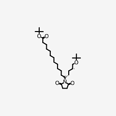 CC(C)(C)OC[CH]CC[C@@H](CCCCCCCCCCCC(=O)OC(C)(C)C)N1C(=O)CCC1=O